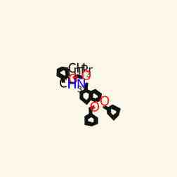 CCCC(Oc1c(C)cccc1C)C(=O)NCC1CCCc2c1ccc(OCc1ccccc1)c2OCc1ccccc1